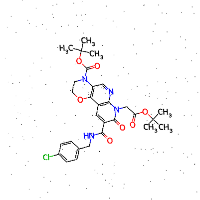 CC(C)(C)OC(=O)Cn1c(=O)c(C(=O)NCc2ccc(Cl)cc2)cc2c3c(cnc21)N(C(=O)OC(C)(C)C)CCO3